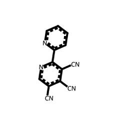 N#Cc1cnc(-c2ccccn2)c(C#N)c1C#N